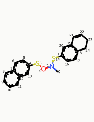 CN(OSc1ccc2ccccc2c1)Sc1ccc2c(c1)C=CCC2